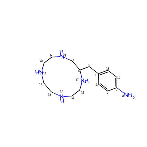 Nc1ccc(CC2CNCCNCCNCCN2)cc1